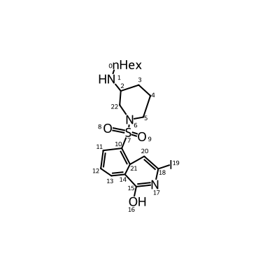 CCCCCCNC1CCCN(S(=O)(=O)c2cccc3c(O)nc(I)cc23)C1